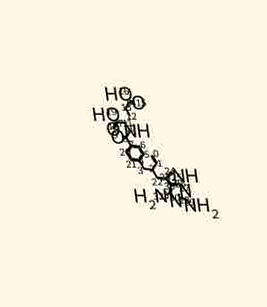 C=CC(Cc1ccc(C(=O)N[C@@H](CCC(=O)O)C(=O)O)cc1)Cc1c[nH]c2nc(N)nc(N)c12